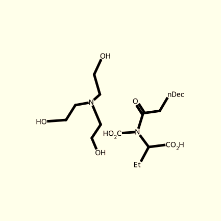 CCCCCCCCCCCC(=O)N(C(=O)O)C(CC)C(=O)O.OCCN(CCO)CCO